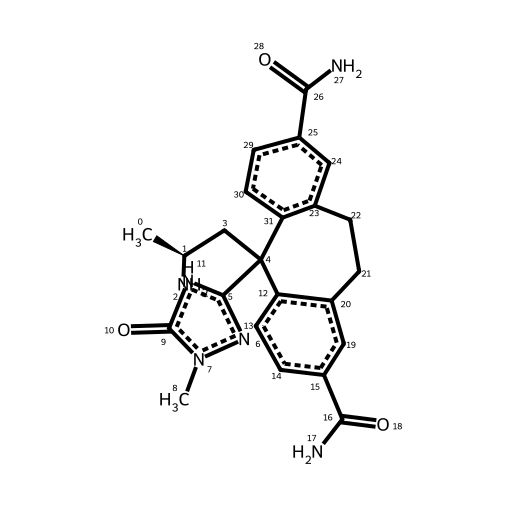 C[C@H](N)CC1(c2nn(C)c(=O)[nH]2)c2ccc(C(N)=O)cc2CCc2cc(C(N)=O)ccc21